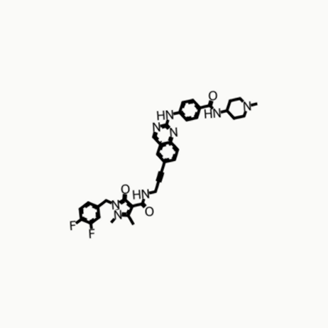 Cc1c(C(=O)NCC#Cc2ccc3nc(Nc4ccc(C(=O)NC5CCN(C)CC5)cc4)ncc3c2)c(=O)n(Cc2ccc(F)c(F)c2)n1C